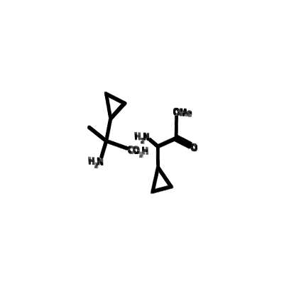 CC(N)(C(=O)O)C1CC1.COC(=O)C(N)C1CC1